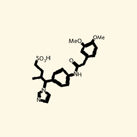 COc1ccc(CC(=O)Nc2ccc(C(C(C)CCS(=O)(=O)O)n3ccnc3)cc2)cc1OC